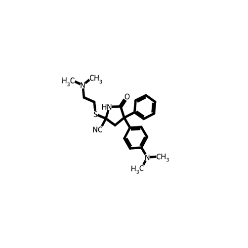 CN(C)CCSC1(C#N)CC(c2ccccc2)(c2ccc(N(C)C)cc2)C(=O)N1